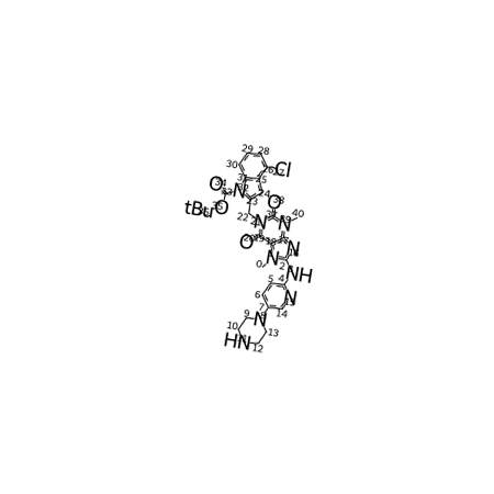 Cn1c(Nc2ccc(N3CCNCC3)cn2)nc2c1c(=O)n(Cc1cc3c(Cl)cccc3n1C(=O)OC(C)(C)C)c(=O)n2C